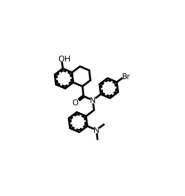 CN(C)c1ccccc1CN(C(=O)C1CCCc2c(O)cccc21)c1ccc(Br)cc1